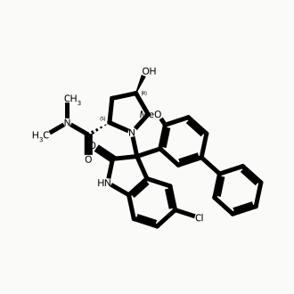 COc1ccc(-c2ccccc2)cc1C1(N2C[C@H](O)C[C@H]2C(=O)N(C)C)C(=O)Nc2ccc(Cl)cc21